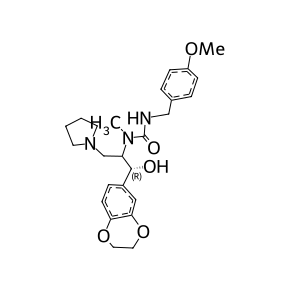 COc1ccc(CNC(=O)N(C)C(CN2CCCC2)[C@H](O)c2ccc3c(c2)OCCO3)cc1